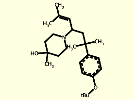 CC(C)=CC(CC(C)(C)c1ccc(OC(C)(C)C)cc1)N1CCC(C)(O)CC1